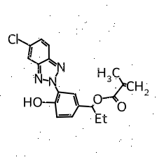 C=C(C)C(=O)OC(CC)c1ccc(O)c(-n2nc3ccc(Cl)cc3n2)c1